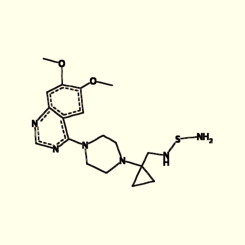 COc1cc2ncnc(N3CCN(C4(CNSN)CC4)CC3)c2cc1OC